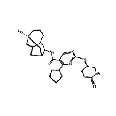 O=C1CCC(Nc2ncc(C(=O)N[C@H]3C4CC5C[C@@](O)(CCCC53)C4)c(C3CCCC3)n2)CN1